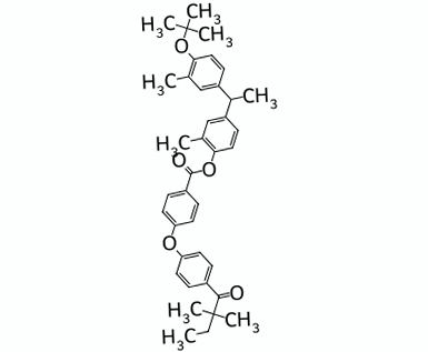 CCC(C)(C)C(=O)c1ccc(Oc2ccc(C(=O)Oc3ccc(C(C)c4ccc(OC(C)(C)C)c(C)c4)cc3C)cc2)cc1